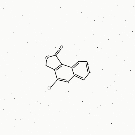 O=C1OCc2c(Cl)nc3ccccc3c21